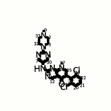 CN1CCN(c2ncc(Nc3ncc4c(=O)c(-c5c(Cl)cccc5Cl)cn(C)c4n3)cn2)CC1